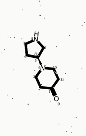 O=C1CCN([C@H]2CCNC2)CC1